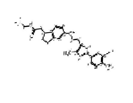 CCOC(=O)C[C@@H]1CCc2cc(OCCc3oc(-c4ccc(C)c(F)c4)nc3C)ccc21